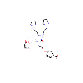 CC(=O)c1ccc(OCCN(C(=O)N(CCCN2CCCC2)CCCN2CCCC2)C(C)C)cc1.O=C(O)/C=C\C(=O)O